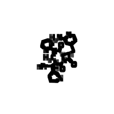 CCCC(NC(=O)N1C(=O)[C@H](Cc2ccnc(N)c2)[C@H]1C(=O)N(C)c1ncccn1)c1cccnc1